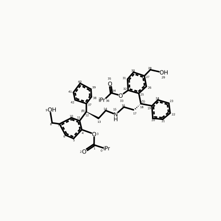 CC(C)C(=O)Oc1ccc(CO)cc1[C@H](CCNCC[C@@H](c1ccccc1)c1cc(CO)ccc1OC(=O)C(C)C)c1ccccc1